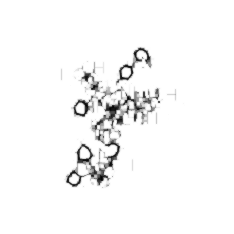 COC(=O)N[C@H](C(=O)N[C@@H](Cc1ccc(-c2ccccn2)cc1)C[C@H](OC(=O)OC(C)(C)C)[C@H](Cc1ccccc1)NC(=O)[C@@H](N1CCN(Cc2cccc(C(C)(C)OP(=O)(OCc3ccccc3)OCc3ccccc3)n2)C1=O)C(C)(C)C)C(C)(C)C